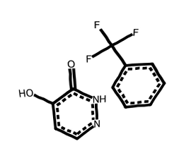 FC(F)(F)c1ccccc1.O=c1[nH]nccc1O